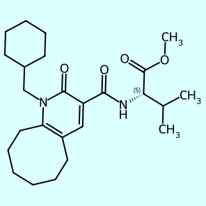 COC(=O)[C@@H](NC(=O)c1cc2c(n(CC3CCCCC3)c1=O)CCCCCC2)C(C)C